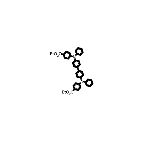 CCOC(=O)c1ccc(N(c2ccccc2)c2ccc(-c3ccc(N(c4ccccc4)c4ccc(C(=O)OCC)cc4)cc3)cc2)cc1